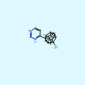 Cl[C]12[CH]3[CH]4[C]5(c6ccncn6)[CH]1[Fe]34251678[CH]2[CH]1[CH]6[CH]7[CH]28